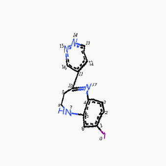 Ic1ccc2c(c1)NCCC(c1ccnnc1)=N2